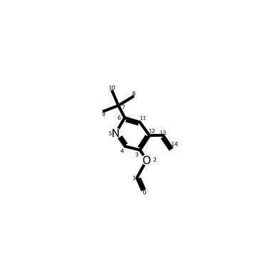 C=COc1cnc(C(C)(C)C)cc1C=C